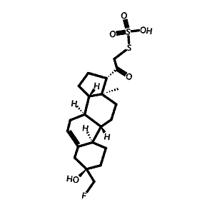 C[C@]12CC[C@H]3[C@@H](CC=C4C[C@@](O)(CF)CC[C@@H]43)[C@@H]1CC[C@@H]2C(=O)CSS(=O)(=O)O